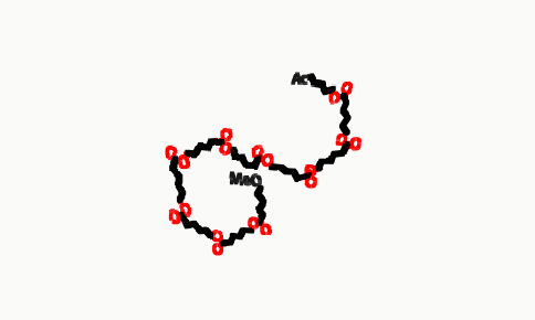 COCCCCCC(=O)OCCCCCC(=O)OCCCCCC(=O)OCCCCCC(=O)OCCCCCC(=O)OCCCCCC(=O)OCCCCCC(=O)OCCCCCC(=O)OCCCCCC(=O)OCCCCCC(C)=O